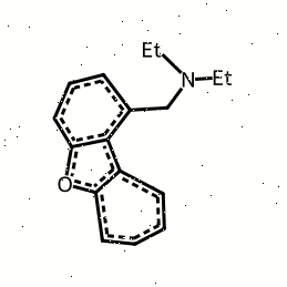 CCN(CC)Cc1cccc2oc3ccccc3c12